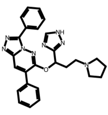 c1ccc(-c2cc3nnc(-c4ccccc4)n3nc2OC(CCN2CCCC2)c2nc[nH]n2)cc1